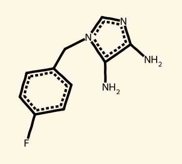 Nc1ncn(Cc2ccc(F)cc2)c1N